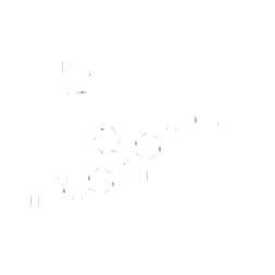 COC(=O)CCc1ccc(C(C)(c2ccc(OCC(=O)OC)cc2)c2ccc(OC(C)=O)cc2)cc1